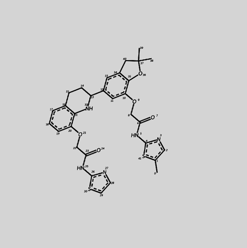 Cc1cnc(NC(=O)COc2cc(C3CCc4cccc(OCC(=O)Nc5nccs5)c4N3)cc3c2OC(C)(C)C3)s1